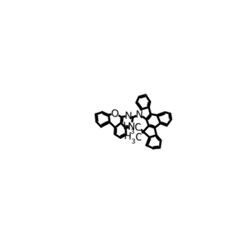 CC1(C)c2ccccc2-c2c1c1c(c3ccccc23)c2ccccc2n1-c1nc2c3c(cccc3n1)-c1ccccc1O2